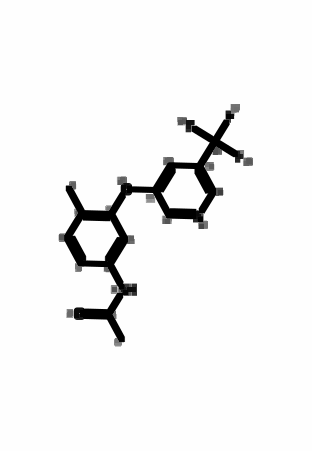 CC(=O)Nc1ccc(C)c(Oc2cncc(C(F)(F)F)c2)c1